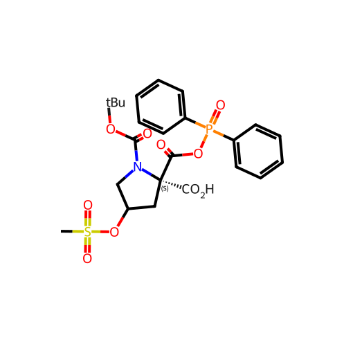 CC(C)(C)OC(=O)N1CC(OS(C)(=O)=O)C[C@]1(C(=O)O)C(=O)OP(=O)(c1ccccc1)c1ccccc1